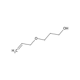 C=CCO[CH]CCO